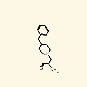 CC(C=O)CN1CCC(Cc2ccccc2)CC1